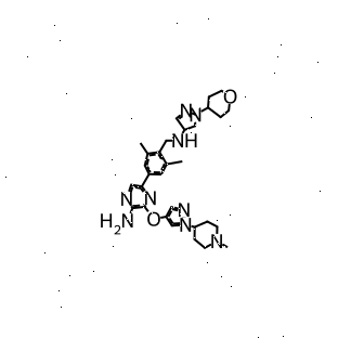 Cc1cc(-c2cnc(N)c(Oc3cnn(C4CCN(C)CC4)c3)n2)cc(C)c1CNC1C=NN(C2CCOCC2)C1